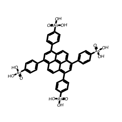 O=[As](O)(O)c1ccc(-c2cc(-c3ccc([As](=O)(O)O)cc3)c3ccc4c(-c5ccc([As](=O)(O)O)cc5)cc(-c5ccc([As](=O)(O)O)cc5)c5ccc2c3c54)cc1